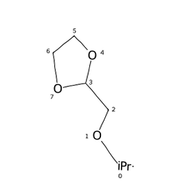 C[C](C)OCC1OCCO1